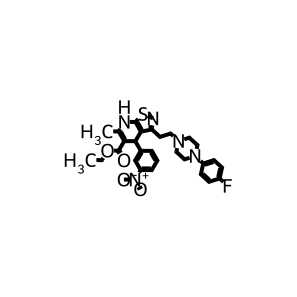 CCOC(=O)C1=C(C)Nc2snc(CCN3CCN(c4ccc(F)cc4)CC3)c2C1c1cccc([N+](=O)[O-])c1